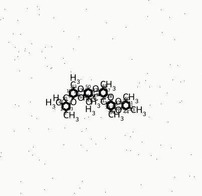 Cc1cc(C)cc(Oc2c(C)cc(C)c3c2Oc2c(C)cc(Oc4c(C)cc(Oc5c(C)cc(C)c6c5Oc5c(C)cc(C)cc5O6)cc4C)cc2O3)c1